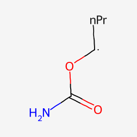 CCC[CH]OC(N)=O